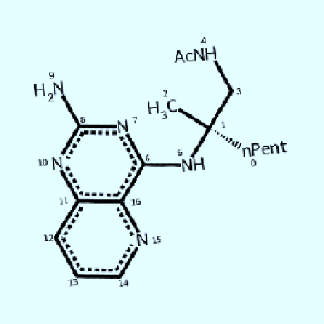 CCCCC[C@](C)(CNC(C)=O)Nc1nc(N)nc2cccnc12